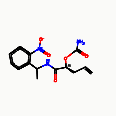 C=CC[C@H](OC(N)=O)C(=O)NC(C)c1ccccc1[N+](=O)[O-]